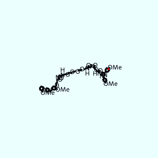 COc1ccc(-c2cc(NC(=O)COCC(=O)N(C)CC(=O)NCCOCCOCCOCCOCCNC(=O)CN(C)C(=O)CCCOc3ccc(CN4CCN(c5ccccc5OC)CC4)cc3OC)nc(-c3ccc(OC)cc3)n2)cc1